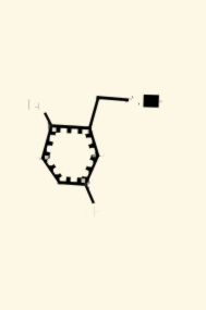 [C-]#[N+]Cc1cc(F)ccc1Br